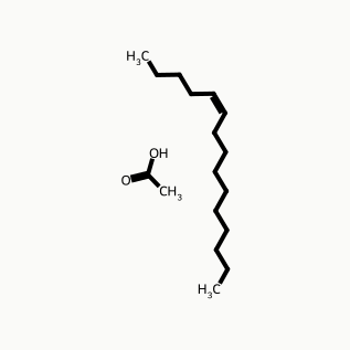 CC(=O)O.CCCC/C=C\CCCCCCCCC